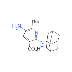 CC(C)(C)c1nc(NC23CC4CC(CC(C4)C2)C3)c(C(=O)O)cc1N